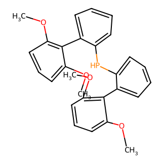 COc1cccc(OC)c1-c1ccccc1Pc1ccccc1-c1c(OC)cccc1OC